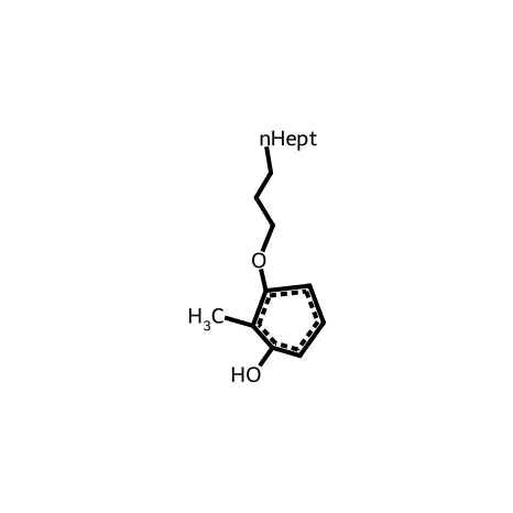 CCCCCCCCCCOc1cccc(O)c1C